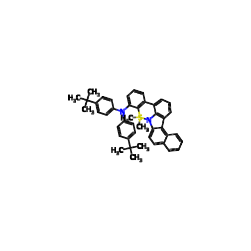 CC(C)(C)c1ccc(N(c2ccc(C(C)(C)C)cc2)c2cccc3c2S(C)(C)n2c4ccc5ccccc5c4c4cccc-3c42)cc1